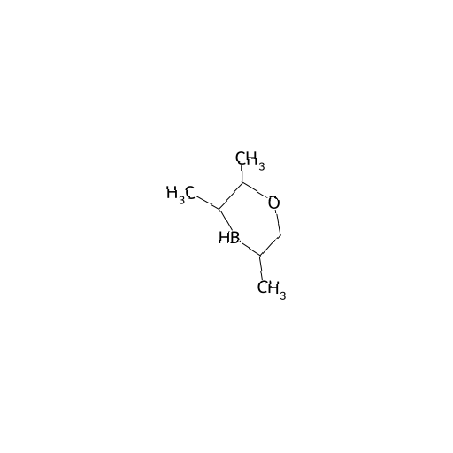 CC1BC(C)C(C)OC1